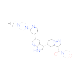 CN1CCN(c2cc(-c3cnc4[nH]cc(-c5ccn6ncc(C(=O)N7CCOCC7)c6c5)c4c3)ccn2)CC1